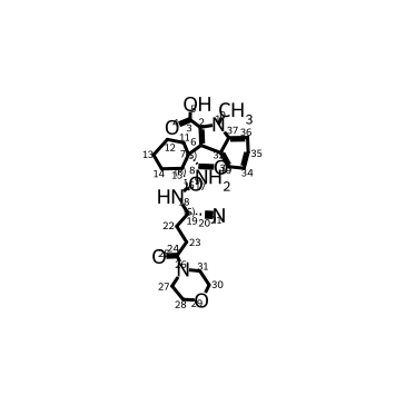 Cn1c(C(=O)O)c([C@]2(C(N)=O)CCCC[C@H]2C(=O)N[C@H](C#N)CCC(=O)N2CCOCC2)c2ccccc21